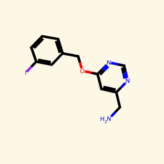 NCc1cc(OCc2cccc(I)c2)ncn1